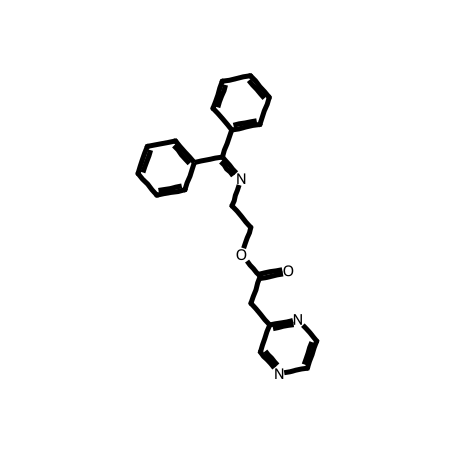 O=C(Cc1cnccn1)OCCN=C(c1ccccc1)c1ccccc1